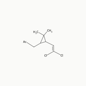 CC(=O)CC1C(C=C(Cl)Cl)C1(C)C